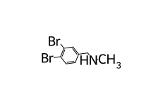 CNCc1ccc(Br)c(Br)c1